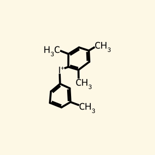 Cc1cccc([I+]c2c(C)cc(C)cc2C)c1